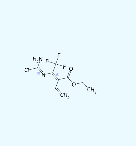 C=C/C(C(=O)OCC)=C(\N=C(/N)Cl)C(F)(F)F